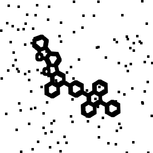 c1ccc(-c2c3ccccc3c(-c3ccc(-c4cc5c6ccc7c8ccccc8oc7c6oc5c5ccccc45)cc3)c3ccccc23)cc1